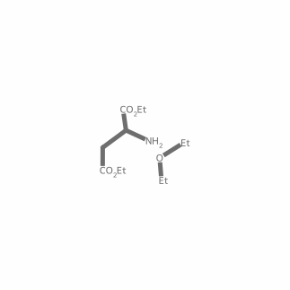 CCOC(=O)CC(N)C(=O)OCC.CCOCC